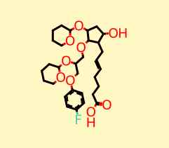 O=C(O)CCC/C=C/CC1C(O)CC(OC2CCCCO2)C1OCC(COc1ccc(F)cc1)OC1CCCCO1